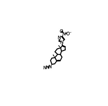 C[C@]12CC[C@H](N=[N+]=[N-])CC1=CCC1C2CC[C@]2(C)C(n3cnc([N+](=O)[O-])c3)=CCC12